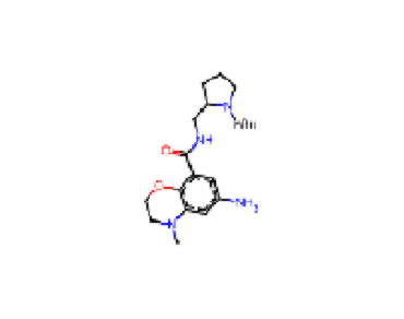 CCCCN1CCCC1CNC(=O)c1cc(N)cc2c1OCCN2C